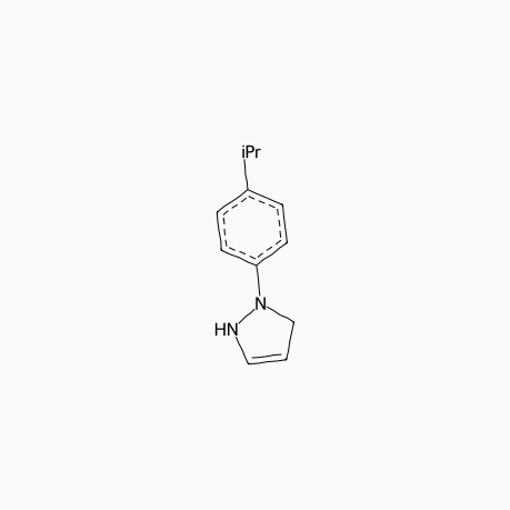 CC(C)c1ccc(N2CC=CN2)cc1